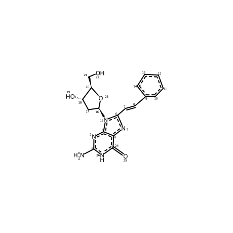 Nc1nc2c(nc(/C=C/c3ccccc3)n2[C@H]2C[C@H](O)[C@@H](CO)O2)c(=O)[nH]1